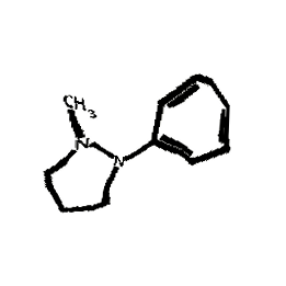 CN1CCCN1c1ccccc1